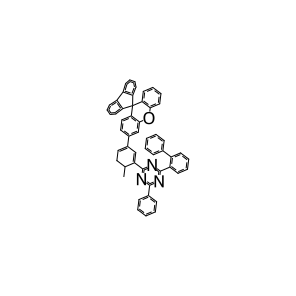 CC1CC=C(c2ccc3c(c2)Oc2ccccc2C32c3ccccc3-c3ccccc32)C=C1c1nc(-c2ccccc2)nc(-c2ccccc2-c2ccccc2)n1